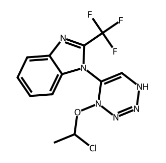 CC(Cl)ON1N=NNC=C1n1c(C(F)(F)F)nc2ccccc21